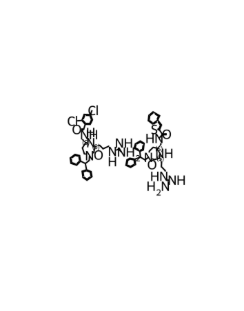 N=C(N)NCCC[C@@H]1N[C@H](CNC(=O)c2cc3ccccc3s2)CCN(CC(c2ccccc2)c2ccccc2)C1=O.N=C(N)NCCC[C@@H]1N[C@H](CNC(=O)c2ccc(Cl)cc2Cl)CCN(CC(c2ccccc2)c2ccccc2)C1=O